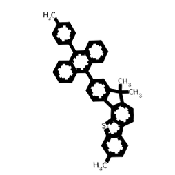 Cc1ccc(-c2c3ccccc3c(-c3ccc4c(c3)C(C)(C)c3ccc5c(sc6cc(C)ccc65)c3-4)c3ccccc23)cc1